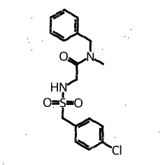 CN(Cc1ccccc1)C(=O)CNS(=O)(=O)Cc1ccc(Cl)cc1